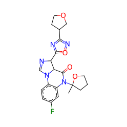 CC1(N2C(=O)C3C(c4nc(C5CCOC5)no4)N=CN3c3ccc(F)cc32)CCCO1